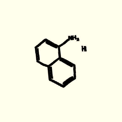 I.Nc1cccc2ccccc12